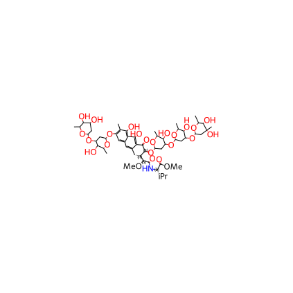 COC(=O)[C@@H](NC(=O)[C@@H](OC)[C@@H]1Cc2cc3cc(OC4CC(OC5CC(O)C(O)C(C)O5)C(O)C(C)O4)c(C)c(O)c3c(O)c2C(=O)[C@H]1OC1CC(OC2CC(OC3CC(C)(O)C(O)C(C)O3)C(O)C(C)O2)C(O)C(C)O1)C(C)C